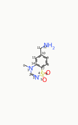 CN1C=NS(=O)(=O)c2ccc(CN)cc21